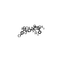 CCN(C(=O)c1csc(C2CCN(C(=O)c3c(-c4ccc(Cl)cc4)noc3C)CC2)n1)C(C)C(=O)c1ccccc1